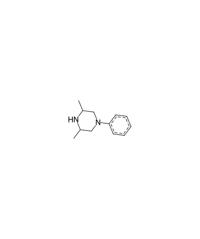 CC1CN(c2ccccc2)CC(C)N1